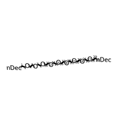 CCCCCCCCCCCCOCCOCCOCCOCCOCCOCCOCCOCCOCCCCCCCCCCCC